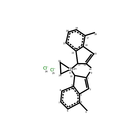 CC1=Cc2c(C)cccc2[CH]1[Zr+2]1([CH]2C(C)=Cc3c(C)cccc32)[CH2][CH2]1.[Cl-].[Cl-]